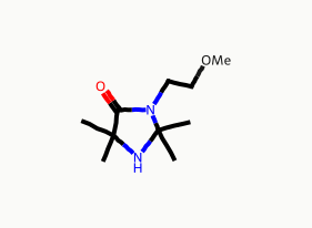 COCCN1C(=O)C(C)(C)NC1(C)C